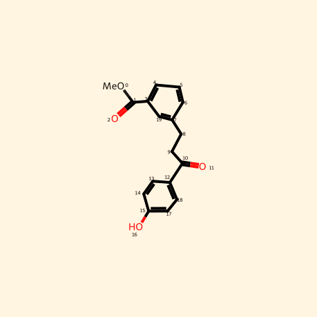 COC(=O)c1cccc(CCC(=O)c2ccc(O)cc2)c1